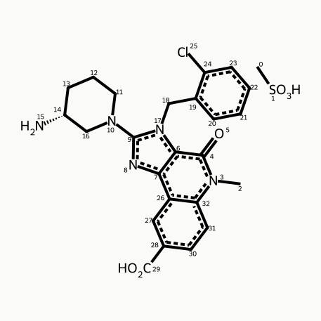 CS(=O)(=O)O.Cn1c(=O)c2c(nc(N3CCC[C@@H](N)C3)n2Cc2ccccc2Cl)c2cc(C(=O)O)ccc21